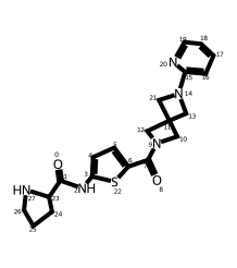 O=C(Nc1ccc(C(=O)N2CC3(C2)CN(c2ccccn2)C3)s1)C1CCCN1